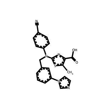 Cc1sc(N(Cc2cccc(-n3ccnc3)c2)c2ccc(C#N)cc2)nc1C(=O)O